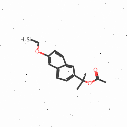 CC(=O)OC(C)(C)c1ccc2cc(OC[SiH3])ccc2c1